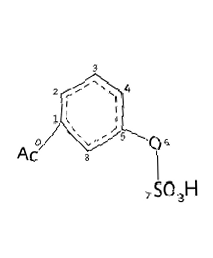 CC(=O)c1cccc(OS(=O)(=O)O)c1